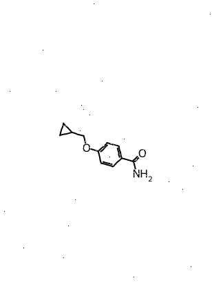 NC(=O)c1ccc(OCC2CC2)cc1